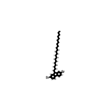 CCCCCCCCCCCCCCCCCCCCCCC1c2cc(Br)ccc2-c2ccc(Br)cc21